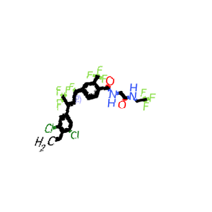 C=Cc1c(Cl)cc(C(/C=C(\F)c2ccc(C(=O)NCC(=O)NCC(F)(F)F)c(C(F)(F)F)c2)C(F)(F)F)cc1Cl